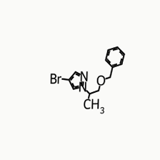 CC(COCc1ccccc1)n1cc(Br)cn1